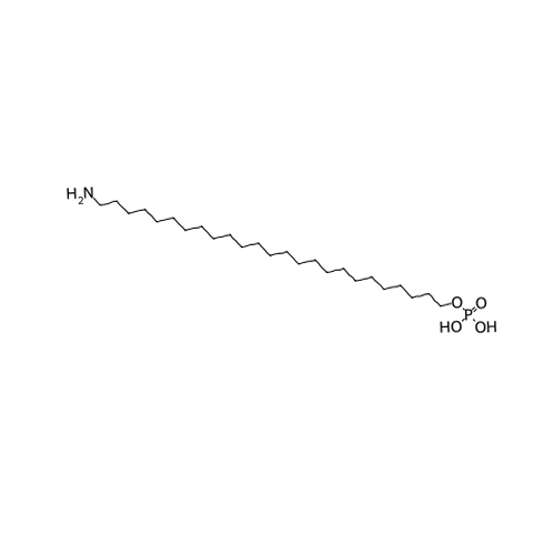 NCCCCCCCCCCCCCCCCCCCCCCCCCOP(=O)(O)O